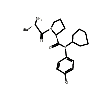 CC(C)(C)[C@H](N)C(=O)N1CCC[C@H]1C(=O)N(c1ccc(Cl)cc1)C1CCCCC1